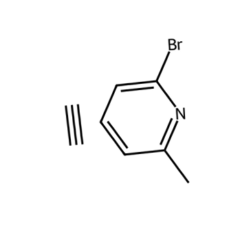 C#C.Cc1cccc(Br)n1